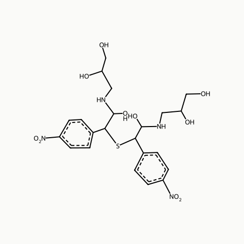 O=[N+]([O-])c1ccc(C(SC(c2ccc([N+](=O)[O-])cc2)C(O)NCC(O)CO)C(O)NCC(O)CO)cc1